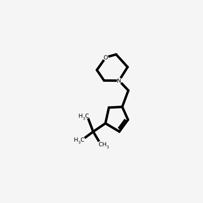 CC(C)(C)C1C=CC(CN2CCOCC2)C1